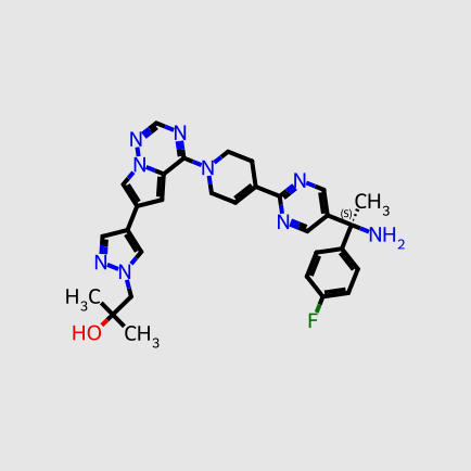 CC(C)(O)Cn1cc(-c2cc3c(N4CC=C(c5ncc([C@@](C)(N)c6ccc(F)cc6)cn5)CC4)ncnn3c2)cn1